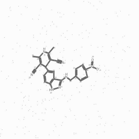 CC1=C(C#N)C(c2ccc3[nH]nc(NCc4ccc([N+](=O)[O-])cc4)c3c2)C(C#N)=C(C)N1